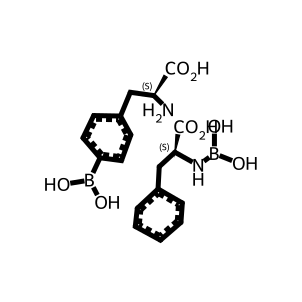 N[C@@H](Cc1ccc(B(O)O)cc1)C(=O)O.O=C(O)[C@H](Cc1ccccc1)NB(O)O